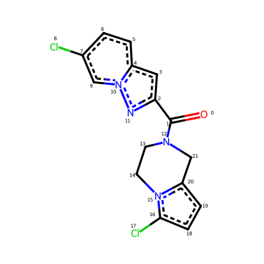 O=C(c1cc2ccc(Cl)cn2n1)N1CCn2c(Cl)ccc2C1